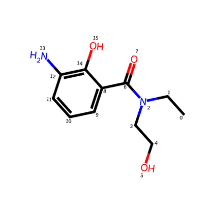 CCN(CCO)C(=O)c1cccc(N)c1O